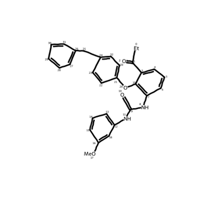 CCC(=O)c1cccc(NC(=O)Nc2cccc(OC)c2)c1Oc1ccc(Cc2ccccc2)cc1